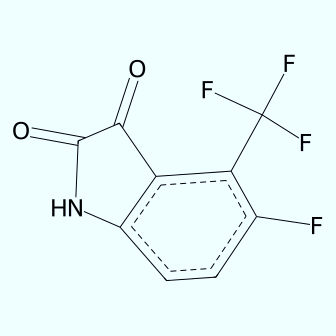 O=C1Nc2ccc(F)c(C(F)(F)F)c2C1=O